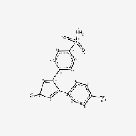 CCC1C=C(c2ccc(C(F)(F)F)cc2)C(c2ccc(S(N)(=O)=O)cn2)=C1